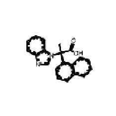 [CH2]C(C(=O)O)(c1cccc2ccccc12)n1cnc2ccccc21